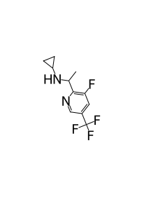 CC(NC1CC1)c1ncc(C(F)(F)F)cc1F